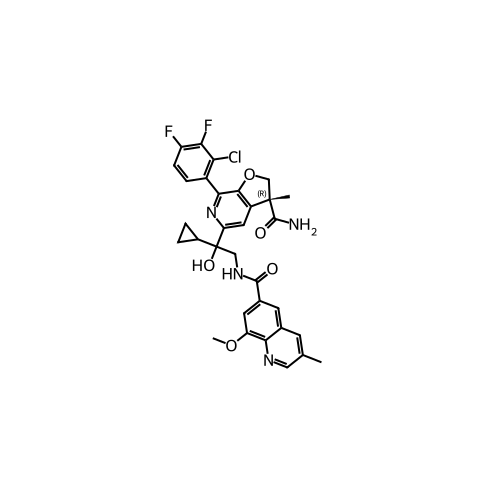 COc1cc(C(=O)NCC(O)(c2cc3c(c(-c4ccc(F)c(F)c4Cl)n2)OC[C@]3(C)C(N)=O)C2CC2)cc2cc(C)cnc12